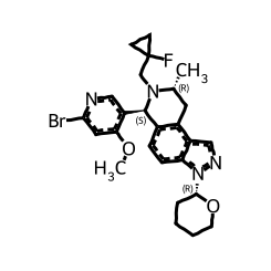 COc1cc(Br)ncc1[C@@H]1c2ccc3c(cnn3[C@H]3CCCCO3)c2C[C@@H](C)N1CC1(F)CC1